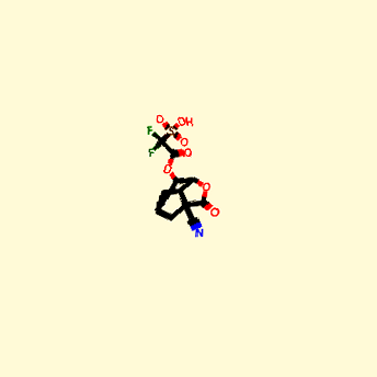 N#CC12CC3CC1C(OC2=O)C3OC(=O)C(F)(F)S(=O)(=O)O